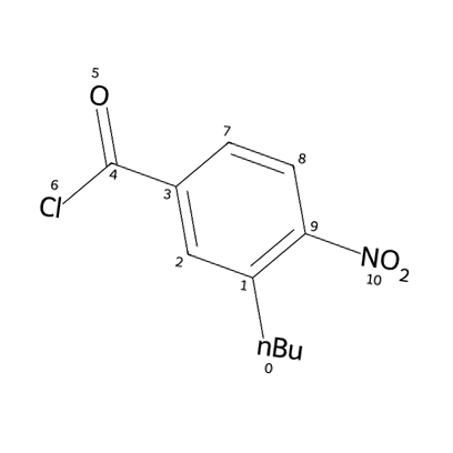 CCCCc1cc(C(=O)Cl)ccc1[N+](=O)[O-]